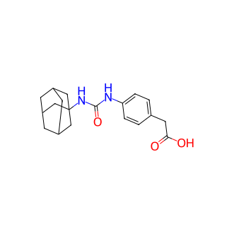 O=C(O)Cc1ccc(NC(=O)NC23CC4CC(CC(C4)C2)C3)cc1